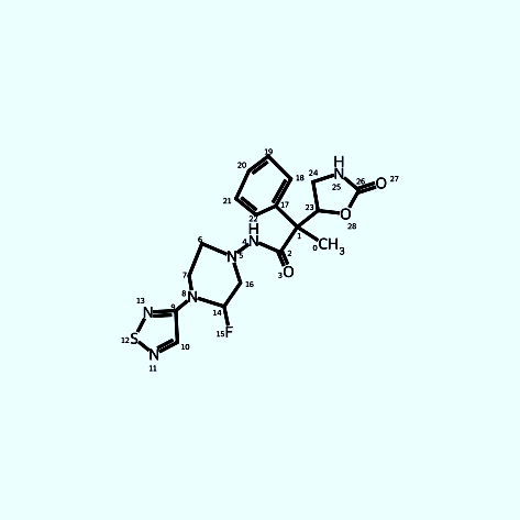 CC(C(=O)NN1CCN(c2cnsn2)C(F)C1)(c1ccccc1)C1CNC(=O)O1